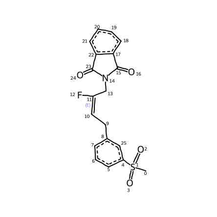 CS(=O)(=O)c1cccc(C/C=C(/F)CN2C(=O)c3ccccc3C2=O)c1